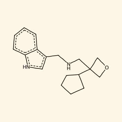 c1ccc2c(CNCC3(C4CCCC4)COC3)c[nH]c2c1